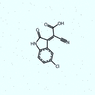 N#C/C(C(=O)O)=C1/C(=O)Nc2ccc(Cl)cc21